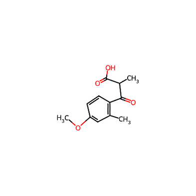 COc1ccc(C(=O)C(C)C(=O)O)c(C)c1